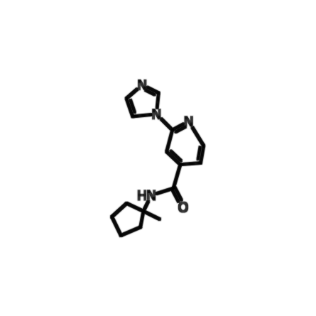 CC1(NC(=O)c2ccnc(-n3ccnc3)c2)CCCC1